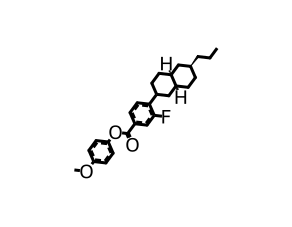 CCC[C@H]1CC[C@@H]2CC(c3ccc(C(=O)Oc4ccc(OC)cc4)cc3F)CC[C@H]2C1